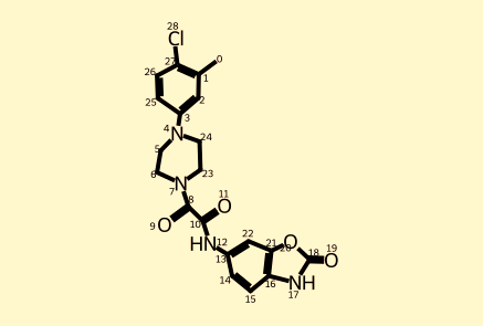 Cc1cc(N2CCN(C(=O)C(=O)Nc3ccc4[nH]c(=O)oc4c3)CC2)ccc1Cl